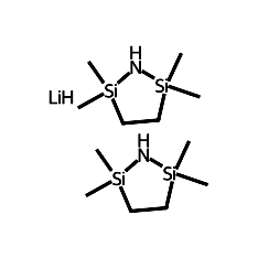 C[Si]1(C)CC[Si](C)(C)N1.C[Si]1(C)CC[Si](C)(C)N1.[LiH]